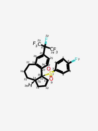 O=S(=O)(c1ccc(F)cc1)[C@@]12CCC[C@@H]1CCCc1cc(C(F)(C(F)(F)F)C(F)(F)F)ccc12